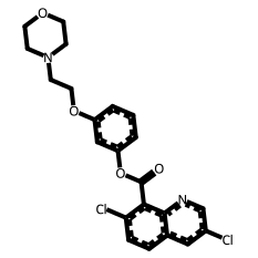 O=C(Oc1cccc(OCCN2CCOCC2)c1)c1c(Cl)ccc2cc(Cl)cnc12